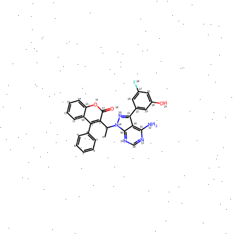 CC(c1c(-c2ccccc2)c2ccccc2oc1=O)n1nc(-c2cc(O)cc(F)c2)c2c(N)ncnc21